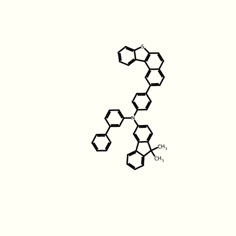 CC1(C)c2ccccc2-c2cc(N(c3ccc(-c4ccc5ccc6sc7ccccc7c6c5c4)cc3)c3cccc(-c4ccccc4)c3)ccc21